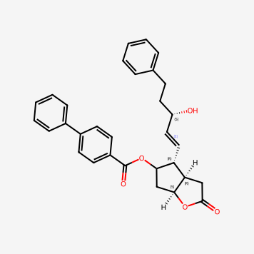 O=C1C[C@H]2[C@H](CC(OC(=O)c3ccc(-c4ccccc4)cc3)[C@@H]2/C=C/[C@@H](O)CCc2ccccc2)O1